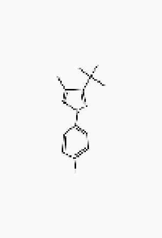 Cc1nn(-c2ccc(F)cc2)nc1C(C)(C)C